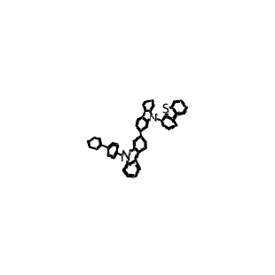 c1ccc(-c2ccc(-n3c4ccccc4c4ccc(-c5ccc6c7ccccc7n(-c7cccc8c7sc7ccccc78)c6c5)cc43)cc2)cc1